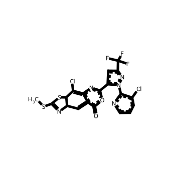 CSC1=NC2C=c3c(nc(-c4cc(C(F)(F)F)nn4-c4ncccc4Cl)oc3=O)=C(Cl)C2S1